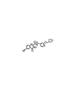 N#Cc1ccc2nc(C(=O)NCc3ccnc(OCC4CCOC4)c3)[nH]c(=O)c2c1